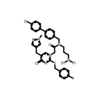 CCN(CC)CCCN(Cc1ccc(-c2ccc(Cl)cc2)cc1)C(=O)Cn1cc(Cc2cnn(C)c2)c(=O)nc1SCc1ccc(F)cc1